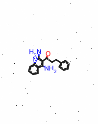 Nc1nc2ccccc2c(N)c1C(=O)CCc1ccccc1